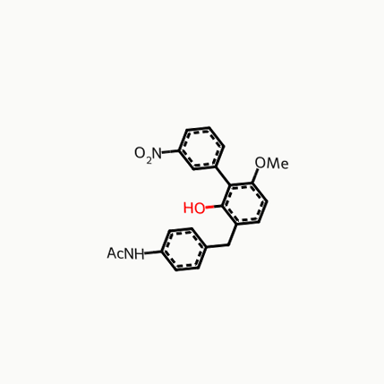 COc1ccc(Cc2ccc(NC(C)=O)cc2)c(O)c1-c1cccc([N+](=O)[O-])c1